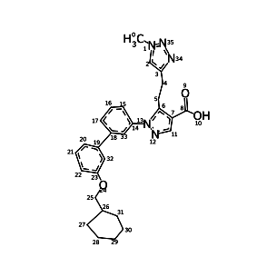 Cn1cc(CCc2c(C(=O)O)cnn2-c2cccc(-c3cccc(OCC4CCCCC4)c3)c2)nn1